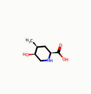 C[C@H]1C[C@@H](C(=O)O)NC[C@H]1O